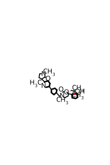 CC(c1ccc(-c2ccc([C@]3(C)CCN(C)C3=O)nc2)cc1)N1CC[C@](CC(C)(C)O)(c2ccccc2)OC1=O